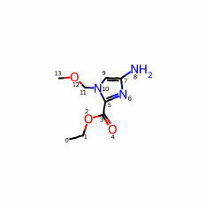 CCOC(=O)c1nc(N)cn1COC